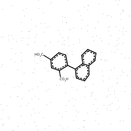 O=C(O)c1ccc(-c2cccc3ccccc23)c(C(=O)O)c1